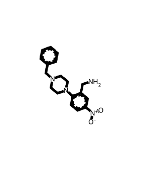 NCc1cc([N+](=O)[O-])ccc1N1CCN(Cc2ccccc2)CC1